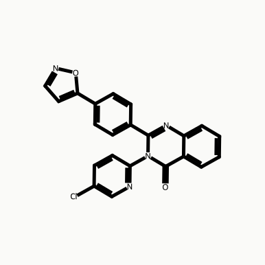 O=c1c2ccccc2nc(-c2ccc(-c3ccno3)cc2)n1-c1ccc(Cl)cn1